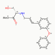 COC(=O)[C@H](CO)NCC=Cc1cccc(Oc2ccccc2)c1